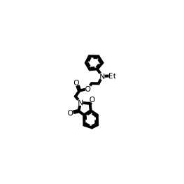 CCN(CCOC(=O)CN1C(=O)c2ccccc2C1=O)c1ccccc1